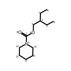 CCC(CC)COC(=O)N1CCCCC1